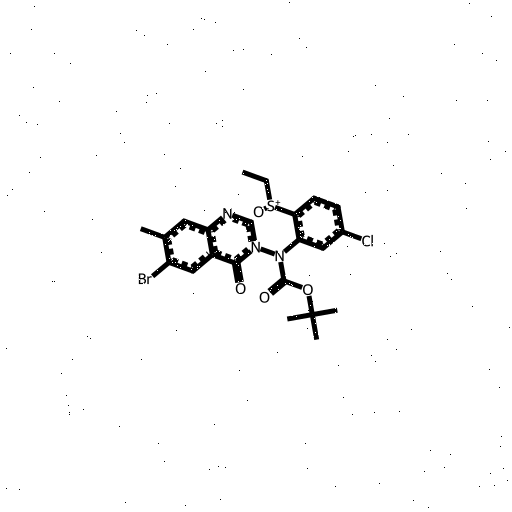 CC[S+]([O-])c1ccc(Cl)cc1N(C(=O)OC(C)(C)C)n1cnc2cc(C)c(Br)cc2c1=O